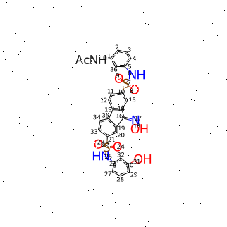 CC(=O)Nc1cccc(NS(=O)(=O)c2ccc3c(c2)/C(=N/O)c2cc(S(=O)(=O)Nc4cccc(O)c4)ccc2-3)c1